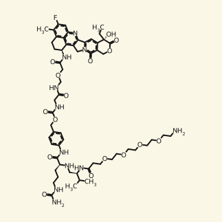 CC[C@@]1(O)C(=O)OCc2c1cc1n(c2=O)Cc2c-1nc1cc(F)c(C)c3c1c2[C@@H](NC(=O)COCNC(=O)CNC(=O)OCc1ccc(NC(=O)[C@H](CCCNC(N)=O)NC[C@@H](NC(=O)CCOCCOCCOCCOCCN)C(C)C)cc1)CC3